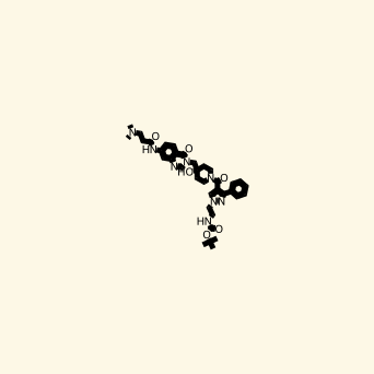 CN(C)CCC(=O)Nc1ccc2c(=O)n(CC3(O)CCN(C(=O)c4cn(CCNC(=O)OC(C)(C)C)nc4-c4ccccc4)CC3)cnc2c1